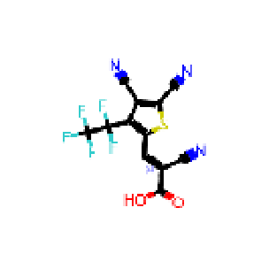 N#C/C(=C\c1sc(C#N)c(C#N)c1C(F)(F)C(F)(F)F)C(=O)O